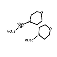 CCCCCCCCCCN1CCOCC1.CCCCCCCCCCN1CCOCC1.O=S(=O)(O)O